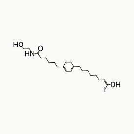 O=C(CCCCCc1ccc(CCCCCCC=C(O)I)cc1)NCCO